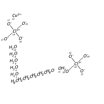 O.O.O.O.O.O.O.O.O.O.O.O.[Cu+2].[O-][Cl+3]([O-])([O-])[O-].[O-][Cl+3]([O-])([O-])[O-]